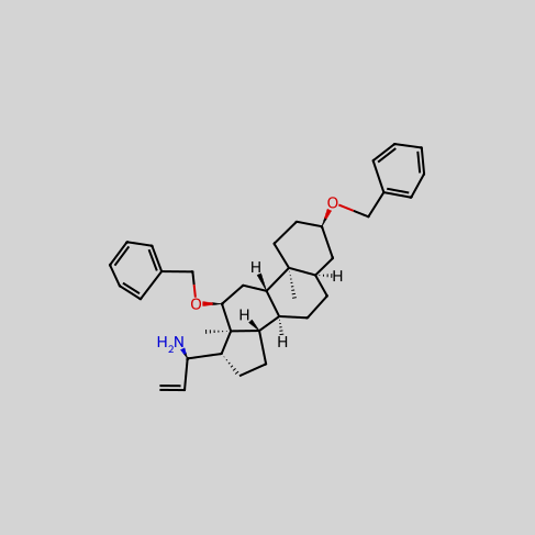 C=C[C@@H](N)[C@H]1CC[C@H]2[C@@H]3CC[C@@H]4C[C@H](OCc5ccccc5)CC[C@]4(C)[C@H]3C[C@H](OCc3ccccc3)[C@]12C